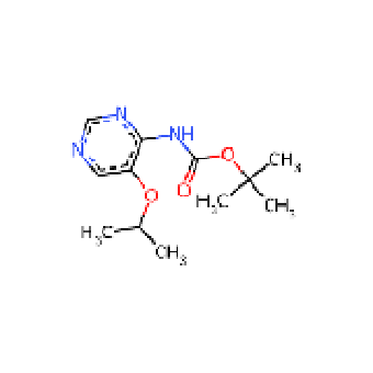 CC(C)Oc1cncnc1NC(=O)OC(C)(C)C